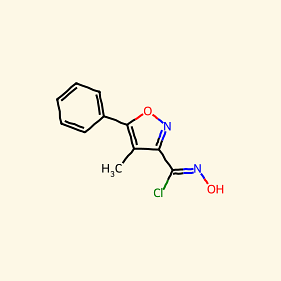 Cc1c(C(Cl)=NO)noc1-c1ccccc1